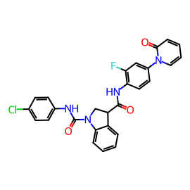 O=C(Nc1ccc(-n2ccccc2=O)cc1F)C1CN(C(=O)Nc2ccc(Cl)cc2)c2ccccc21